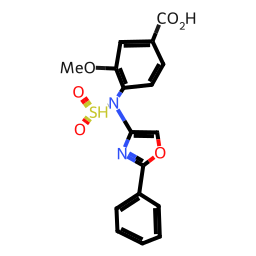 COc1cc(C(=O)O)ccc1N(c1coc(-c2ccccc2)n1)[SH](=O)=O